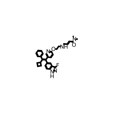 CN(C)C(=O)/C=C/CNCCOc1ccc(/C(=C(\c2ccccc2)C2CCC2)c2ccc3[nH]nc(F)c3c2)cn1